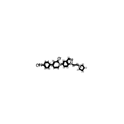 [C-]#[N+]c1ccc(-c2ccn(-c3ccc4c(cnn4CCN4CCCC4)c3)c(=O)c2)cc1